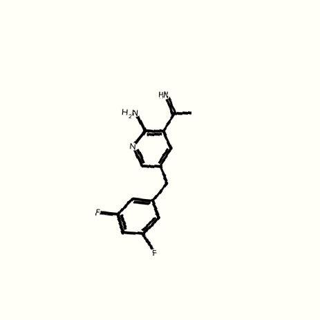 CC(=N)c1cc(Cc2cc(F)cc(F)c2)cnc1N